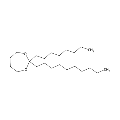 CCCCCCCCCCC1(CCCCCCCC)OCCCCO1